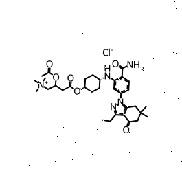 CCc1nn(-c2ccc(C(N)=O)c(N[C@H]3CC[C@H](OC(=O)CC(C[N+](C)(C)C)OC(C)=O)CC3)c2)c2c1C(=O)CC(C)(C)C2.[Cl-]